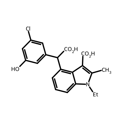 CCn1c(C)c(C(=O)O)c2c(C(C(=O)O)c3cc(O)cc(Cl)c3)cccc21